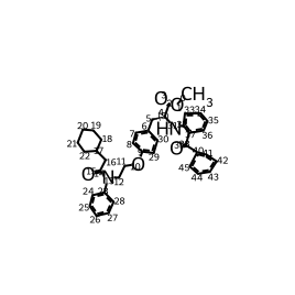 COC(=O)[C@H](Cc1ccc(OCCN(C(=O)CC2CCCCC2)c2ccccc2)cc1)Nc1ccccc1C(=O)c1ccccc1